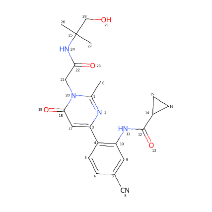 Cc1nc(-c2ccc(C#N)cc2NC(=O)C2CC2)cc(=O)n1CC(=O)NC(C)(C)CO